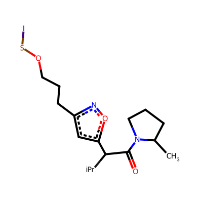 CC(C)C(C(=O)N1CCCC1C)c1cc(CCCOSI)no1